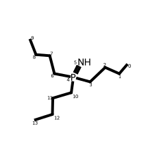 CCCCP(=N)(CCCC)CCCC